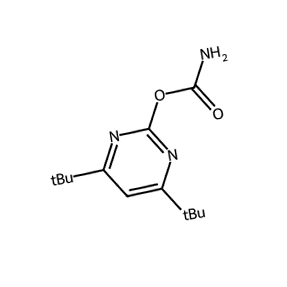 CC(C)(C)c1cc(C(C)(C)C)nc(OC(N)=O)n1